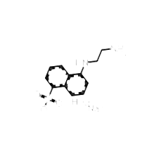 NCCNc1cccc2c(S(=O)(=O)[O-])cccc12.O.[Na+]